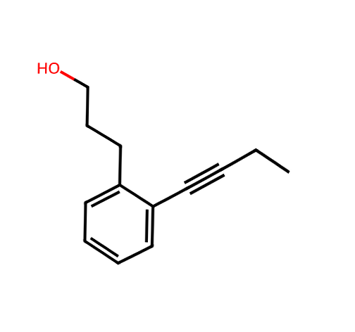 CCC#Cc1ccccc1CCCO